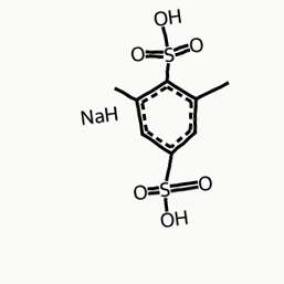 Cc1cc(S(=O)(=O)O)cc(C)c1S(=O)(=O)O.[NaH]